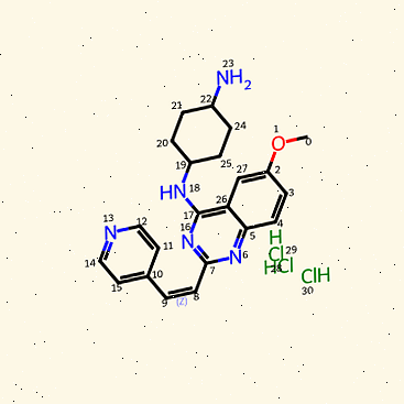 COc1ccc2nc(/C=C\c3ccncc3)nc(NC3CCC(N)CC3)c2c1.Cl.Cl.Cl